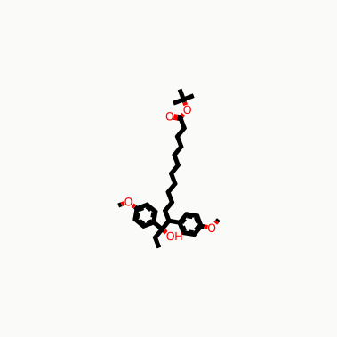 CCC(O)(c1ccc(OC)cc1)C(CCCCCCCCCCC(=O)OC(C)(C)C)c1ccc(OC)cc1